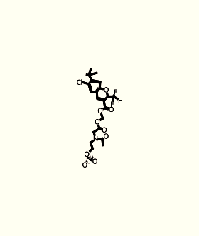 CC(=O)N(CCO[N+](=O)[O-])CC(=O)OCOC(=O)C1=Cc2cc(Cl)c(C(C)(C)C)cc2OC1C(F)(F)F